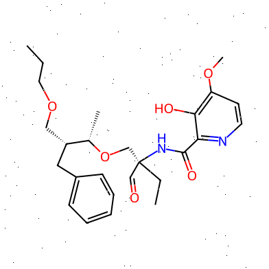 CCCOC[C@@H](Cc1ccccc1)[C@H](C)OC[C@@](C=O)(CC)NC(=O)c1nccc(OC)c1O